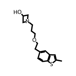 Cc1cc2cc(CCOCCCN3CC(O)C3)ccc2s1